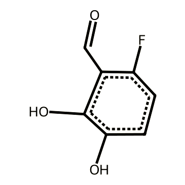 O=Cc1c(F)ccc(O)c1O